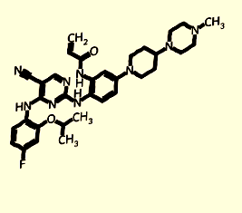 C=CC(=O)Nc1cc(N2CCC(N3CCN(C)CC3)CC2)ccc1Nc1ncc(C#N)c(Nc2ccc(F)cc2OC(C)C)n1